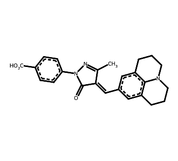 CC1=NN(c2ccc(C(=O)O)cc2)C(=O)C1=Cc1cc2c3c(c1)CCCN3CCC2